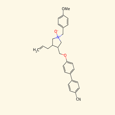 C=CCC1C[N+]([O-])(Cc2ccc(OC)cc2)CC1COc1ccc(-c2ccc(C#N)cc2)cc1